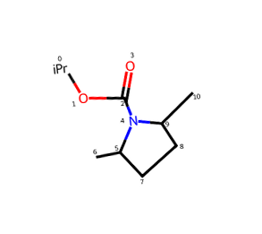 CC(C)OC(=O)N1C(C)CCC1C